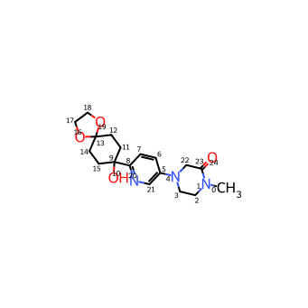 CN1CCN(c2ccc(C3(O)CCC4(CC3)OCCO4)nc2)CC1=O